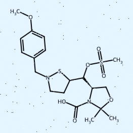 COc1ccc(CN2CCC(C(OS(C)(=O)=O)[C@H]3COC(C)(C)N3C(=O)O)S2)cc1